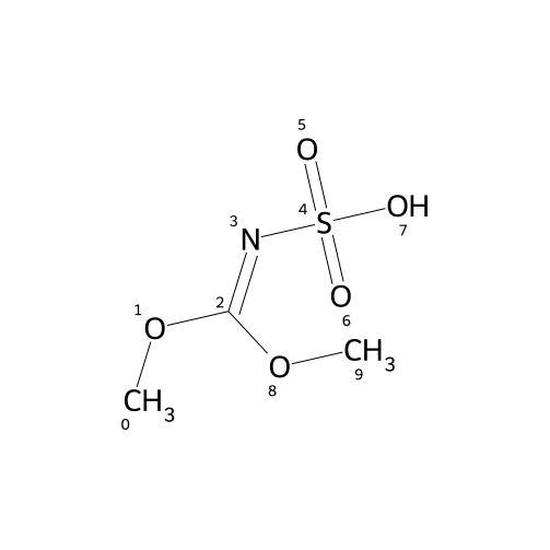 COC(=NS(=O)(=O)O)OC